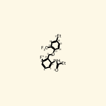 CCC(=O)Nc1cccc(F)c1COc1ccc(CC)cc1C(F)(F)F